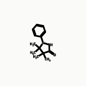 CC1(C)C(=O)NN(c2ccccc2)C1(C)C